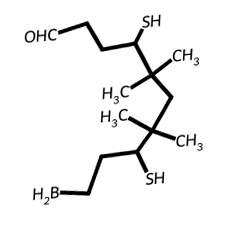 BCCC(S)C(C)(C)CC(C)(C)C(S)CCC=O